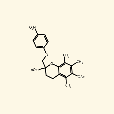 CCCCCCCCC1(COc2ccc([N+](=O)[O-])cc2)CCc2c(C)c(OC(C)=O)c(C)c(C)c2O1